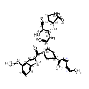 C=C(/C=C\C=C/C)[C@@H]1C[C@@H](C(=O)N[C@@H](C[C@@H]2CCNC2=O)C(O)C#N)N(C(=O)c2cc3c(OC)cccc3[nH]2)C1